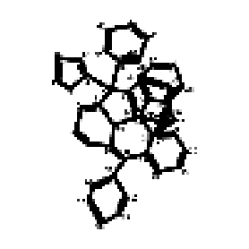 C1=CCC(C(C2=CC=CC(=C(c3ccccc3)c3ccccc3)C2C2C=Cc3ccccc32)(c2ccccc2)c2ccccc2)=C1